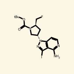 CC(C)(C)OC(=O)N1C[C@@H](n2nc(I)c3c(N)nccc32)C[C@@H]1CF